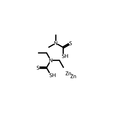 CCN(CC)C(=S)S.CN(C)C(=S)S.[Zn].[Zn]